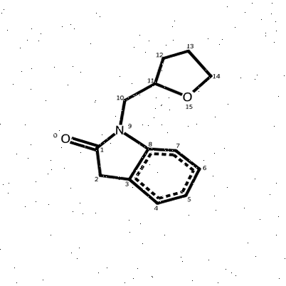 O=C1Cc2ccccc2N1CC1CCCO1